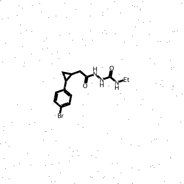 CCNC(=O)NNC(=O)CC1CC1c1ccc(Br)cc1